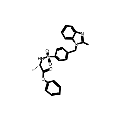 Cc1nc2ccccc2n1Cc1ccc(S(=O)(=O)N[C@@H](C)C(=O)Oc2ccccc2)cc1